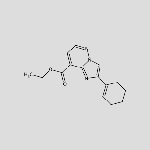 CCOC(=O)c1ccnn2cc(C3=CCCCC3)nc12